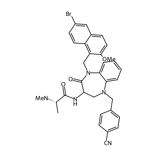 CN[C@@H](C)C(=O)NC1CN(Cc2ccc(C#N)cc2)c2ccccc2N(Cc2c(OC)ccc3cc(Br)ccc23)C1=O